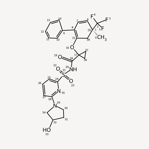 C[C@@]1(C(F)(F)F)C=CC(c2ccccc2)=C(OC2(C(=O)NS(=O)(=O)c3cccc(N4CCC(O)C4)n3)CC2)C1